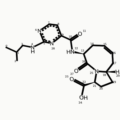 CC(C)CNc1nccc(C(=O)N[C@H]2C/C=C\C[C@@H]3CC[C@@H](C(=O)O)N3C2=O)n1